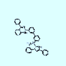 N[C@H](c1cccc(-c2cccc(C3N=C(c4ccccc4)c4ccccc4N3)c2)c1)N1NC(c2ccccc2)=CC1c1ccccc1